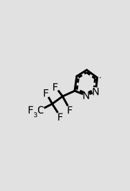 FC(F)(F)C(F)(F)C(F)(F)c1cc[c]nn1